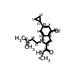 CNC(=O)c1cc2c(Br)cc(C3CC3)cc2n1CCN(C)C